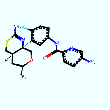 NC1=N[C@@]2(c3cc(NC(=O)c4ccc(N)cn4)ccc3F)CO[C@@H](C(F)(F)F)C[C@H]2CS1